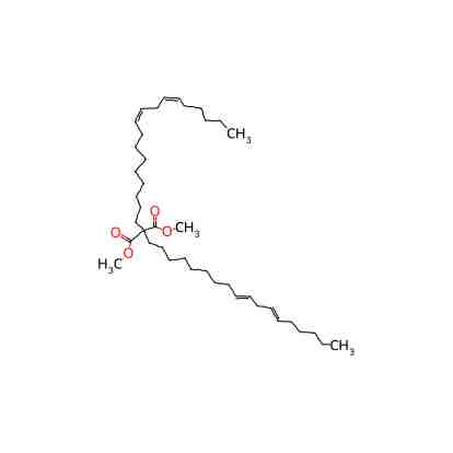 CCCCCC=CCC=CCCCCCCCCC(CCCCCCCC/C=C\C/C=C\CCCCC)(C(=O)OC)C(=O)OC